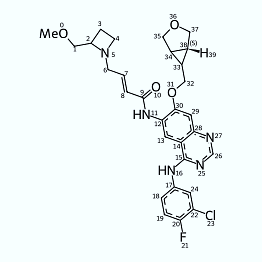 COCC1CCN1CC=CC(=O)Nc1cc2c(Nc3ccc(F)c(Cl)c3)ncnc2cc1OCC1C2COC[C@@H]21